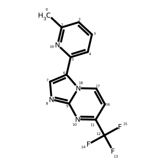 Cc1cccc(-c2cnc3nc(C(F)(F)F)ccn23)n1